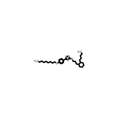 CCCCCCCCCOc1ccc(-c2nnc(OCCCC3CCCCC3CCCCC)s2)cc1